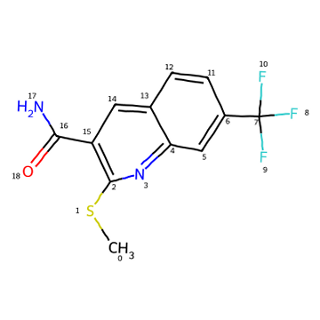 CSc1nc2cc(C(F)(F)F)ccc2cc1C(N)=O